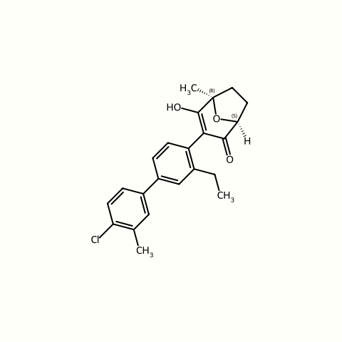 CCc1cc(-c2ccc(Cl)c(C)c2)ccc1C1=C(O)[C@@]2(C)CC[C@H](O2)C1=O